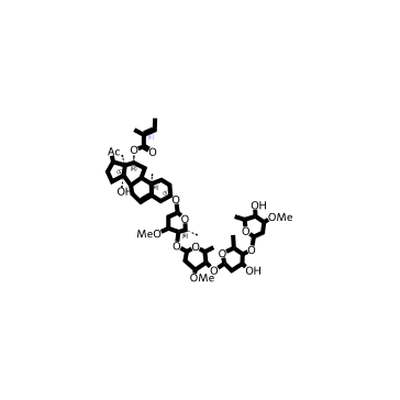 C/C=C(\C)C(=O)O[C@@H]1CC2C(CC=C3C[C@@H](OC4CC(OC)C(OC5CC(OC)C(OC6CC(O)C(OC7CC(OC)C(O)C(C)O7)C(C)O6)C(C)O5)[C@@H](C)O4)CC[C@@]32C)[C@@]2(O)CCC(C(C)=O)[C@@]12C